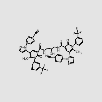 Cc1c(-c2ccnn2-c2ccc(C#N)cc2)cc(C(=O)NCC(O)CNC(=O)c2cc(-c3ccnn3-c3ccc(C#N)cc3)c(C)n(-c3cccc(C(F)(F)F)c3)c2=O)c(=O)n1-c1cccc(C(F)(F)F)c1